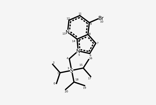 CC(C)S(Cn1ccc2c(Br)ccnc21)(C(C)C)C(C)C